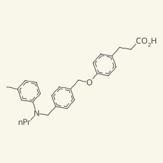 CCCN(Cc1ccc(COc2ccc(CCC(=O)O)cc2)cc1)c1cccc(C)c1